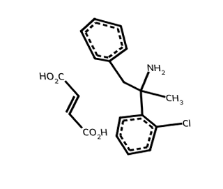 CC(N)(Cc1ccccc1)c1ccccc1Cl.O=C(O)C=CC(=O)O